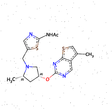 CC(=O)Nc1ncc(CN2C[C@H](Oc3ncc4c(C)csc4n3)C[C@@H]2C)s1